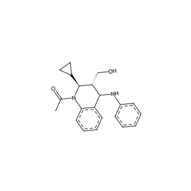 CC(=O)N1c2ccccc2C(Nc2ccccc2)[C@@H](CO)[C@@H]1C1CC1